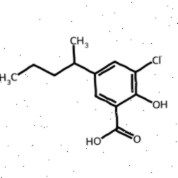 CCCC(C)c1cc(Cl)c(O)c(C(=O)O)c1